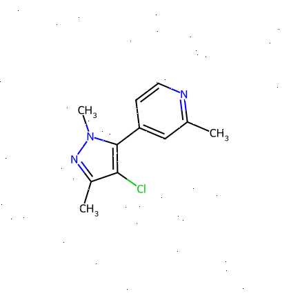 Cc1cc(-c2c(Cl)c(C)nn2C)ccn1